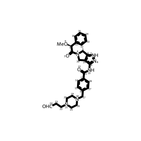 CO[C@H](C(=O)N1Cc2[nH]nc(NC(=O)c3ccc(CN4CCN(CCC=O)CC4)cc3)c2C1)c1ccccc1